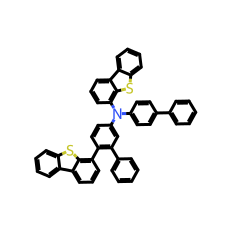 c1ccc(-c2ccc(N(c3ccc(-c4cccc5c4sc4ccccc45)c(-c4ccccc4)c3)c3cccc4c3sc3ccccc34)cc2)cc1